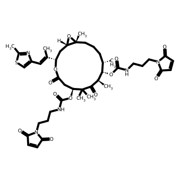 CC(=Cc1csc(C)n1)[C@@H]1C[C@@H]2O[C@]2(C)CCC[C@H](C)[C@H](OC(=O)NCCCN2C(=O)C=CC2=O)[C@@H](C)C(=O)C(C)(C)[C@@H](OC(=O)NCCCN2C(=O)C=CC2=O)CC(=O)O1